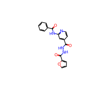 O=C(NNC(=O)c1ccco1)c1ccnc(NC(=O)c2ccccc2)c1